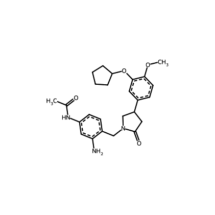 COc1ccc(C2CC(=O)N(Cc3ccc(NC(C)=O)cc3N)C2)cc1OC1CCCC1